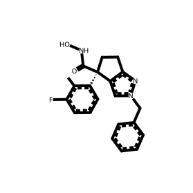 Cc1c(F)cccc1[C@]1(C(=O)NO)CCc2nn(Cc3ccccc3)cc21